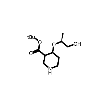 C[C@@H](CO)OC1CCNCC1C(=O)OC(C)(C)C